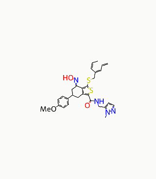 C=C/C=C(\C=C/C)CSc1sc(C(=O)NCc2ccnn2C)c2c1/C(=N/O)CC(c1ccc(OC)cc1)C2